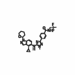 Cn1nc(-c2ccc(C(=O)NCC(C)(F)F)cc2)nc1Nc1ccc2c(cnn2C2CCCCO2)c1C1CC1